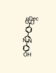 CCCCCCCCCCOC(=O)c1ccc(-c2cnc(-c3ccc(O)cc3)nc2)cc1